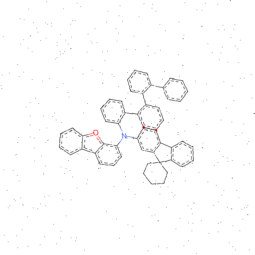 c1ccc(-c2ccccc2-c2ccccc2-c2ccccc2N(c2ccc3c(c2)C2(CCCCC2)c2ccccc2-3)c2cccc3c2oc2ccccc23)cc1